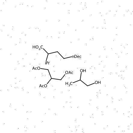 CC(=O)OCC(COC(C)=O)OC(C)=O.CC(O)CO.CCCCCCCCCCCCC(C(=O)O)C(C)C